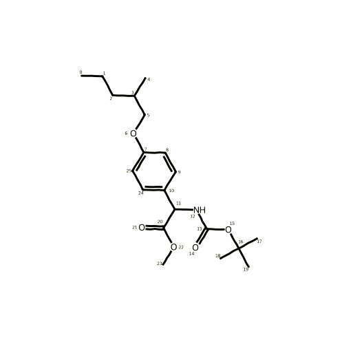 CCCC(C)COc1ccc(C(NC(=O)OC(C)(C)C)C(=O)OC)cc1